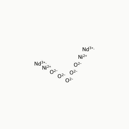 [Nd+3].[Nd+3].[Ni+2].[Ni+2].[O-2].[O-2].[O-2].[O-2].[O-2]